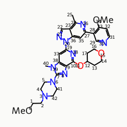 COCCN1CCN(c2nc3c(OC4CCOCC4)nc(-n4ncc5c(C)nc(-c6cnccc6OC)cc54)cc3n2C)CC1